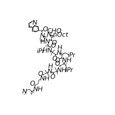 CCCCCCCC[C@@H](C(=O)N[C@@H](CC(C)C)C(=O)NC(C)(C)C(=O)N[C@@H](CC(C)C)C(=O)N[C@@H](CC(C)C)C(=O)NC(C)(C)C(=O)NC(C)(C)C(=O)NCCC(=O)N[C@@H](C)CN(C)C)N(C=O)[C@@H]1CCCN1C(=O)c1ccc2cccnc2c1